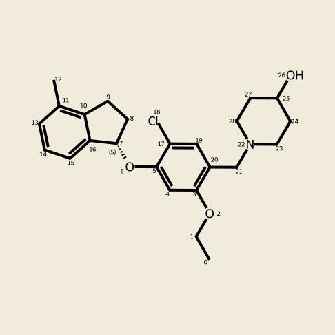 CCOc1cc(O[C@H]2CCc3c(C)cccc32)c(Cl)cc1CN1CCC(O)CC1